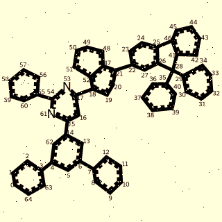 c1ccc(-c2cc(-c3ccccc3)cc(-c3cc(-c4ccc(-c5ccc6c(c5)C(c5ccccc5)(c5ccccc5)c5ccccc5-6)c5ccccc45)nc(-c4ccccc4)n3)c2)cc1